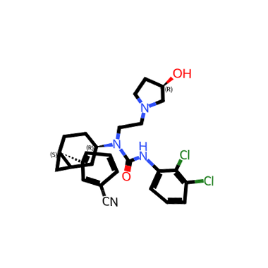 N#Cc1cccc([C@]23CC[C@@H](N(CCN4CC[C@@H](O)C4)C(=O)Nc4cccc(Cl)c4Cl)CC2C3)c1